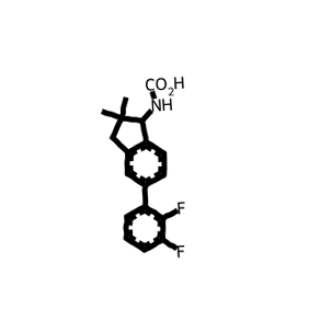 CC1(C)Cc2cc(-c3cccc(F)c3F)ccc2C1NC(=O)O